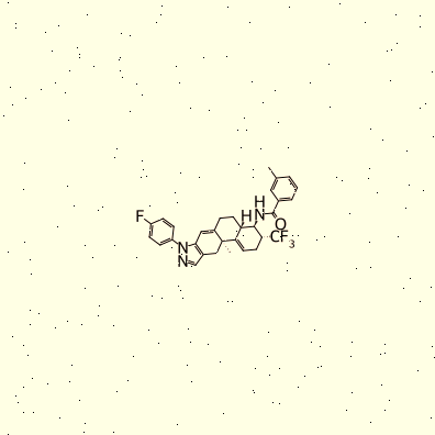 Cc1cccc(C(=O)N[C@H]2[C@H](C(F)(F)F)CC=C3[C@@H]2CCC2=Cc4c(cnn4-c4ccc(F)cc4)C[C@@]23C)c1